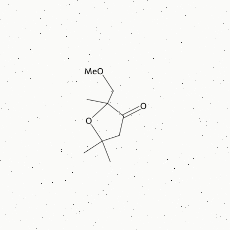 COCC1(C)OC(C)(C)CC1=O